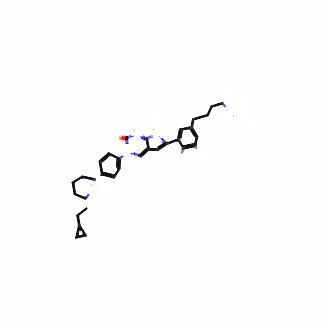 C[C@H](N)CCCc1cc(Cl)c(F)c(-c2cc3cn(-c4ccc([C@@H]5CCC[C@@H](CCC6CC6)N5)cc4)c(=O)nc3[nH]2)c1